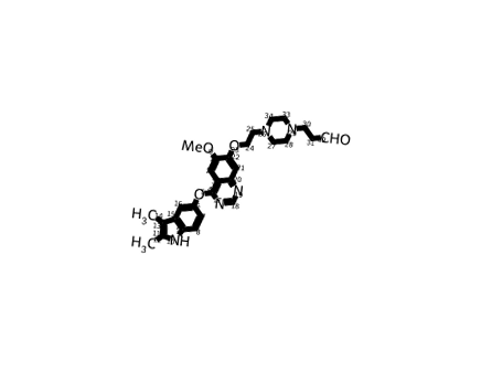 COc1cc2c(Oc3ccc4[nH]c(C)c(C)c4c3)ncnc2cc1OCCN1CCN(CCC=O)CC1